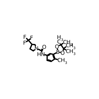 Cc1ccc(NC(=O)N2CCC(C(F)(F)F)C2)cc1B1OC(C)(C)C(C)(C)O1